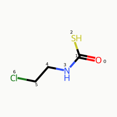 O=C(S)NCCCl